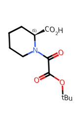 CC(C)(C)OC(=O)C(=O)N1CCCC[C@H]1C(=O)O